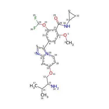 COc1cc(-c2cnc3cc(OCC(N)C(C)C)ccn23)cc(OC(F)F)c1C(=O)NC1CC1